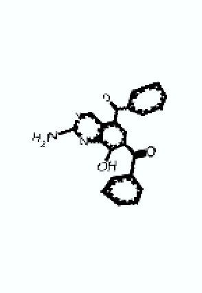 Nc1ncc2c(C(=O)c3ccccc3)cc(C(=O)c3ccccc3)c(O)c2n1